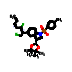 C=C/C=C\C(F)=C(/CF)c1ccc2c(c1)c(B1OC(C)(C)C(C)(C)O1)cn2S(=O)(=O)c1ccc(C)cc1